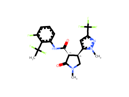 CN1C[C@H](c2cc(C(F)(F)F)nn2C)[C@@H](C(=O)Nc2cccc(F)c2C(C)(F)F)C1=O